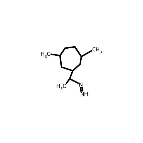 CC1CCC(C)CC(C(C)N=N)C1